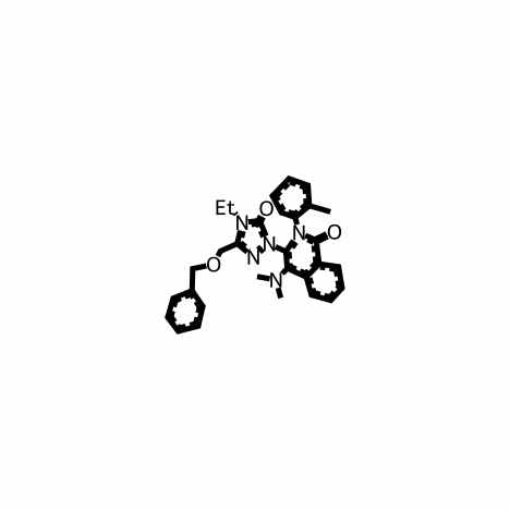 CCn1c(COCc2ccccc2)nn(-c2c(N(C)C)c3ccccc3c(=O)n2-c2ccccc2C)c1=O